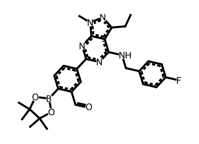 CCc1nn(C)c2nc(-c3ccc(B4OC(C)(C)C(C)(C)O4)c(C=O)c3)nc(NCc3ccc(F)cc3)c12